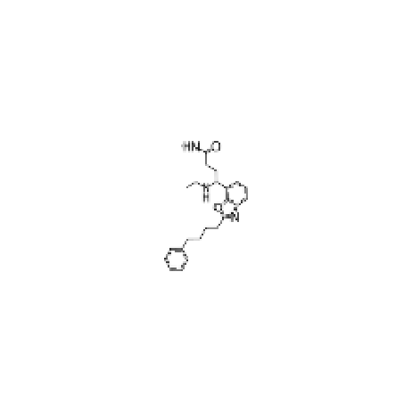 CCNC(CCC([NH])=O)c1cccc2nc(CCCCc3ccccc3)oc12